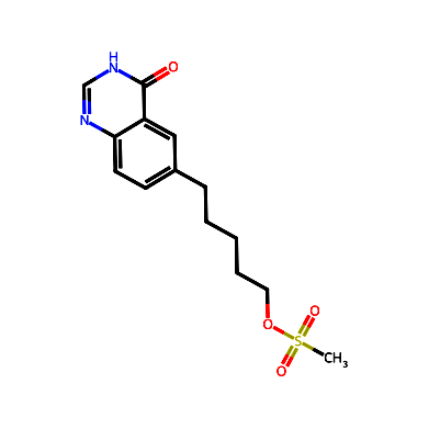 CS(=O)(=O)OCCCCCc1ccc2nc[nH]c(=O)c2c1